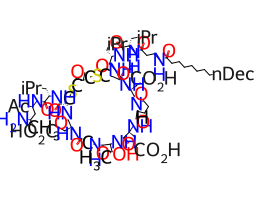 CCCCCCCCCCCCCCCCCC(=O)NCCC(=O)N[C@@H](CC(C)C)C(=O)N[C@@H](CC(C)C)C(=O)N[C@H]1CSCC2(COC2)CSC[C@@H](C(=O)N[C@@H](CC(C)C)C(=O)N[C@@H](CC(C)N)C(C)=O)NC(=O)[C@H](CCC(=O)O)NC(=O)CNC(=O)[C@H]([C@@H](C)O)NC(=O)[C@H](CCC(=O)O)NC(=O)[C@@H]2CCCN2C(=O)[C@H](CC(=O)O)NC1=O